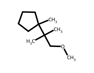 COCC(C)(C)C1(C)CCCC1